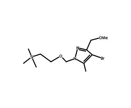 COCc1nn(COCC[Si](C)(C)C)c(C)c1Br